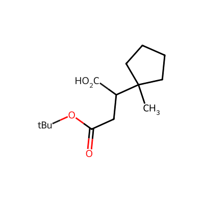 CC(C)(C)OC(=O)CC(C(=O)O)C1(C)CCCC1